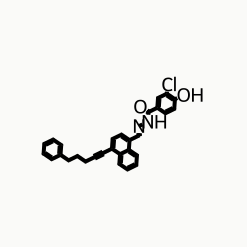 O=C(N/N=C/c1ccc(C#CCCCc2ccccc2)c2ccccc12)c1ccc(O)c(Cl)c1